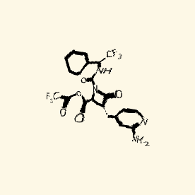 Nc1cc(C[C@H]2C(=O)N(C(=O)N[C@@H](C3CCCCC3)C(F)(F)F)[C@@H]2C(=O)OC(=O)C(F)(F)F)ccn1